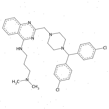 CN(C)CCCNc1nc(CN2CCN(C(c3ccc(Cl)cc3)c3ccc(Cl)cc3)CC2)nc2ccccc12